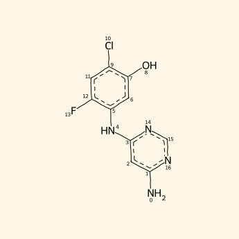 Nc1cc(Nc2cc(O)c(Cl)cc2F)ncn1